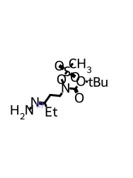 CC/C(CCN(OS(C)(=O)=O)C(=O)OC(C)(C)C)=N\N